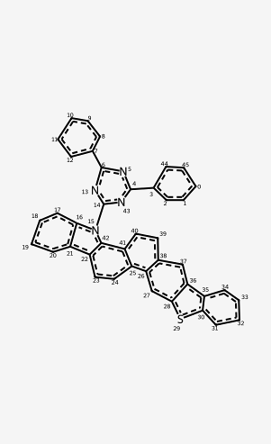 c1ccc(-c2nc(-c3ccccc3)nc(-n3c4ccccc4c4ccc5c6cc7sc8ccccc8c7cc6ccc5c43)n2)cc1